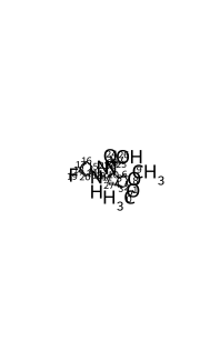 COc1cc2c(cc1OC)-c1c(c(Nc3cccc(F)c3)nn1C(=O)CO)C2